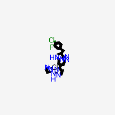 Cn1nccc1Nc1nccc(-c2cc3n4c(nnc4c2)C(Cc2ccc(Cl)c(F)c2)CN3)n1